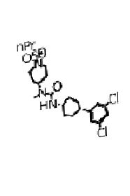 CCCS(=O)(=O)N1CCC(N(C)C(=O)N[C@H]2CC[C@H](c3cc(Cl)cc(Cl)c3)CC2)CC1